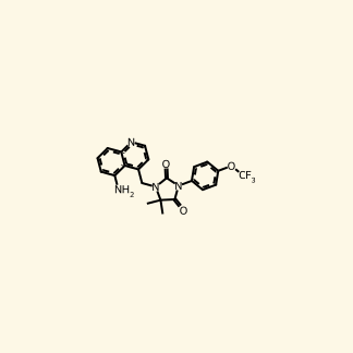 CC1(C)C(=O)N(c2ccc(OC(F)(F)F)cc2)C(=O)N1Cc1ccnc2cccc(N)c12